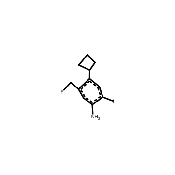 Nc1cc(CF)c(C2CCC2)cc1I